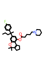 CCCC(C)(c1ccc(F)cc1)c1cc(OC(=O)CCCCN2CCCCC2)c2c(c1)OC(C)(C)C1=C2CCC1